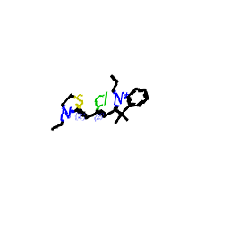 CCC[N+]1=C(/C=C(Cl)/C=C2\SCCN2CC)C(C)(C)c2ccccc21